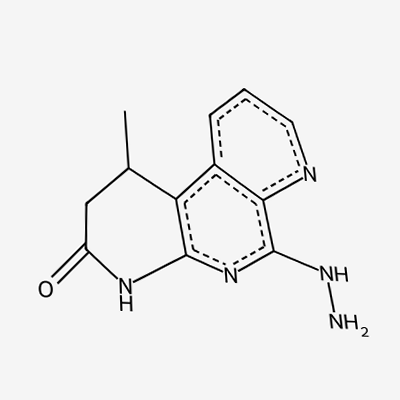 CC1CC(=O)Nc2nc(NN)c3ncccc3c21